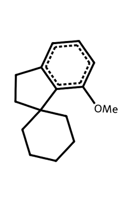 COc1cccc2c1C1(CCCCC1)CC2